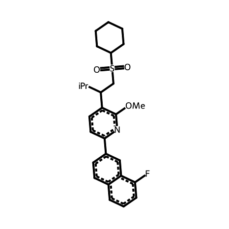 COc1nc(-c2ccc3cccc(F)c3c2)ccc1C(CS(=O)(=O)C1CCCCC1)C(C)C